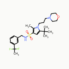 Cc1c(S(=O)(=O)NCc2cccc(C(C)(F)F)c2)cc(C(C)(C)C)n1CCCN1CCOCC1